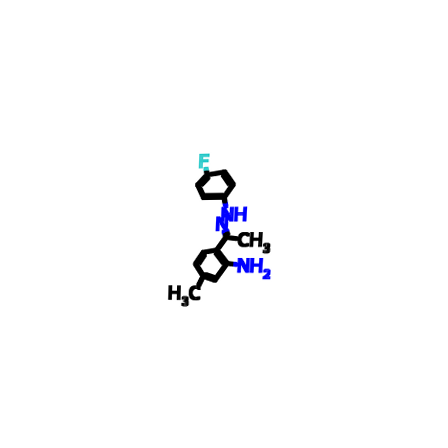 C/C(=N\Nc1ccc(F)cc1)c1ccc(C)cc1N